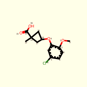 COc1ccc(Cl)cc1OC1CC(C)(C(=O)O)C1